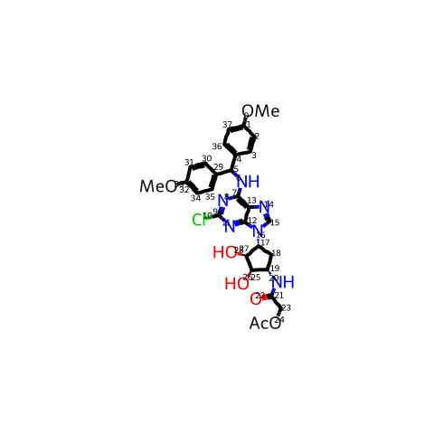 COc1ccc(C(Nc2nc(Cl)nc3c2ncn3[C@@H]2C[C@H](NC(=O)COC(C)=O)[C@@H](O)[C@H]2O)c2ccc(OC)cc2)cc1